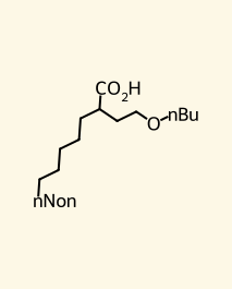 CCCCCCCCCCCCCCC(CCOCCCC)C(=O)O